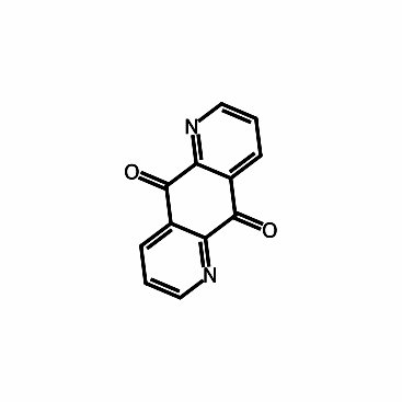 O=C1c2cccnc2C(=O)c2cccnc21